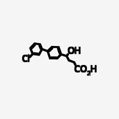 O=C(O)CCC(O)c1ccc(-c2cccc(Cl)c2)cc1